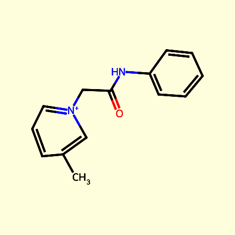 Cc1ccc[n+](CC(=O)Nc2ccccc2)c1